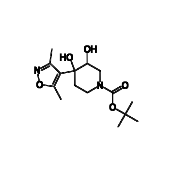 Cc1noc(C)c1C1(O)CCN(C(=O)OC(C)(C)C)CC1O